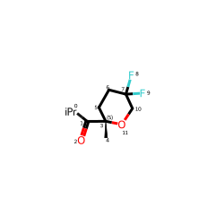 CC(C)C(=O)[C@]1(C)CCC(F)(F)CO1